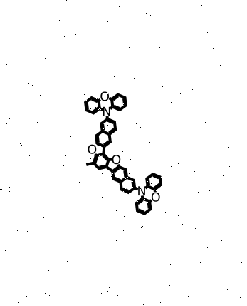 Cc1cc2c3cc4ccc(N5c6ccccc6Oc6ccccc65)cc4cc3oc2c2c1oc1cc3cc(N4c5ccccc5Oc5ccccc54)ccc3cc12